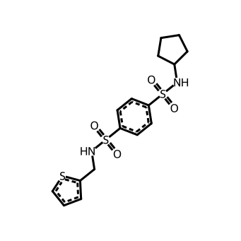 O=S(=O)(NCc1cccs1)c1ccc(S(=O)(=O)NC2CCCC2)cc1